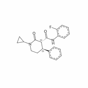 O=C(Nc1ccccc1F)[C@H]1C(=O)N(C2CC2)CC[C@@H]1c1ccccc1